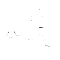 CN[C@]1(c2ccccc2)CCCC(CC2CCC2)C(C)C(=O)N(CC(C)(C)C(N)=O)CCC1